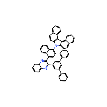 c1ccc(-c2cc(-c3ccccc3)cc(-c3nc4ccccc4nc3-c3ccc(-n4c5ccc6ccccc6c5c5c6ccccc6ccc54)c4ccccc34)c2)cc1